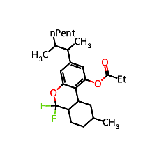 CCCCCC(C)C(C)c1cc(OC(=O)CC)c2c(c1)OC(F)(F)C1CCC(C)CC21